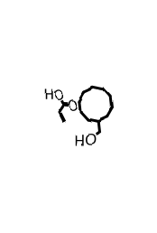 C=CC(=O)O.OCC1CCCCCCCCC1